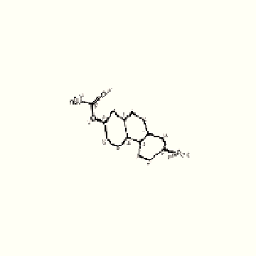 CCCCCC1CCC2C(CCC3CC(OC(=O)CCCC)CCC32)C1